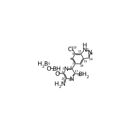 BOBOc1nc(-c2cc(Cl)c3[nH]ncc3c2)c(B)nc1N